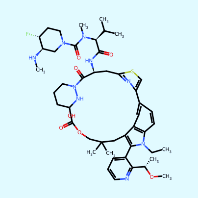 CCn1c(-c2cccnc2[C@H](C)OC)c2c3cc(ccc31)-c1csc(n1)C[C@H](NC(=O)[C@H](C(C)C)N(C)C(=O)N1CC[C@@H](F)[C@H](NC)C1)C(=O)N1CCC[C@@](O)(N1)C(=O)OCC(C)(C)C2